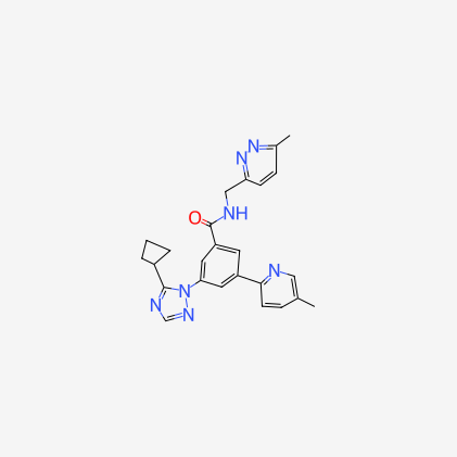 Cc1ccc(-c2cc(C(=O)NCc3ccc(C)nn3)cc(-n3ncnc3C3CCC3)c2)nc1